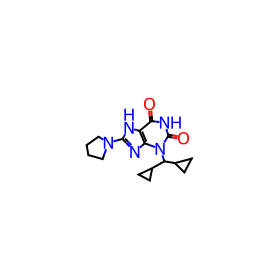 O=c1[nH]c(=O)n(C(C2CC2)C2CC2)c2nc(N3CCCC3)[nH]c12